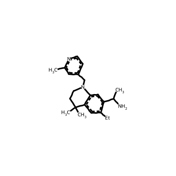 CCc1cc2c(cc1C(C)N)N(Cc1ccnc(C)c1)CCC2(C)C